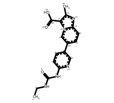 CCNC(=O)Nc1ccc(-c2ccc3nc(C)c(C(=O)O)n3c2)cn1